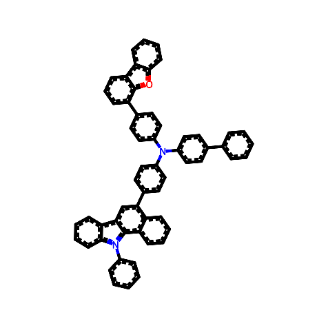 c1ccc(-c2ccc(N(c3ccc(-c4cc5c6ccccc6n(-c6ccccc6)c5c5ccccc45)cc3)c3ccc(-c4cccc5c4oc4ccccc45)cc3)cc2)cc1